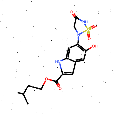 CC(C)CCOC(=O)c1cc2cc(O)c(N3CC(=O)NS3(=O)=O)cc2[nH]1